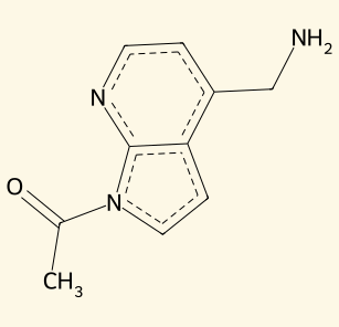 CC(=O)n1ccc2c(CN)ccnc21